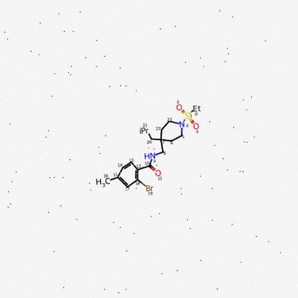 CCS(=O)(=O)N1CCC(CNC(=O)c2ccc(C)cc2Br)(CC(C)C)CC1